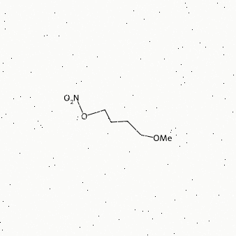 COCCCCO[N+](=O)[O-]